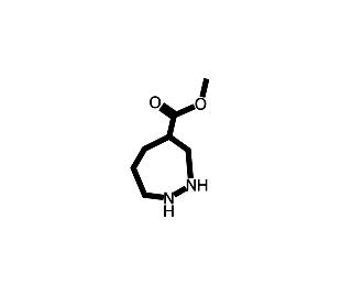 COC(=O)C1CCCNNC1